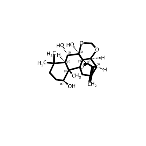 C=C1C(=O)[C@@]23C4CC[C@@H]1[C@@H]2OCO[C@]3(O)[C@@H](O)[C@@H]1C(C)(C)CC[C@H](O)[C@@]41C